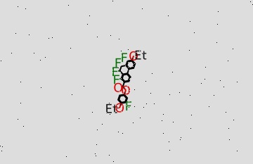 CCOc1ccc(OC(=O)c2ccc3c(c2F)C(F)C(F)c2c-3ccc(OCC)c2F)cc1F